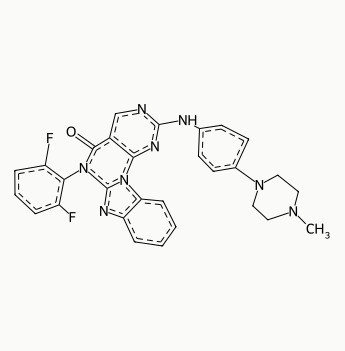 CN1CCN(c2ccc(Nc3ncc4c(=O)n(-c5c(F)cccc5F)c5nc6ccccc6n5c4n3)cc2)CC1